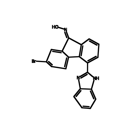 O/N=C1\c2cc(Br)ccc2-c2c1cccc2-c1nc2ccccc2[nH]1